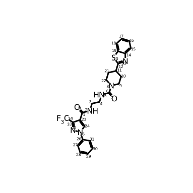 O=C(NCCNC(=O)N1CCC(c2nc3ccccc3s2)CC1)c1cn(-c2ccccc2)nc1C(F)(F)F